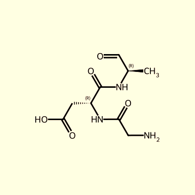 C[C@H](C=O)NC(=O)[C@@H](CC(=O)O)NC(=O)CN